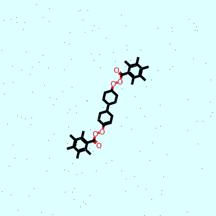 Cc1c(C)c(C)c(C(=O)OOC2=CCC(C3CCC(OOC(=O)c4c(C)c(C)c(C)c(C)c4C)CC3)CC2)c(C)c1C